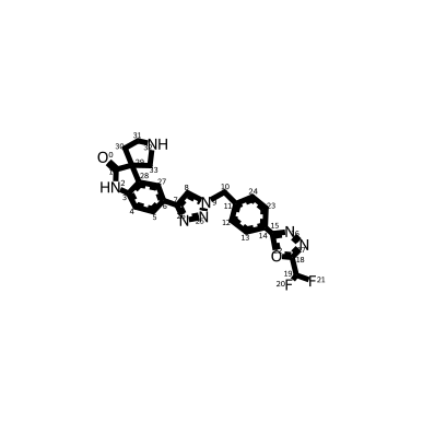 O=C1Nc2ccc(-c3cn(Cc4ccc(-c5nnc(C(F)F)o5)cc4)nn3)cc2C12CCNC2